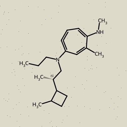 CCCN(C[C@@H](C)C1CCC1C)C1=C=CC=C(NC)C(C)=C1